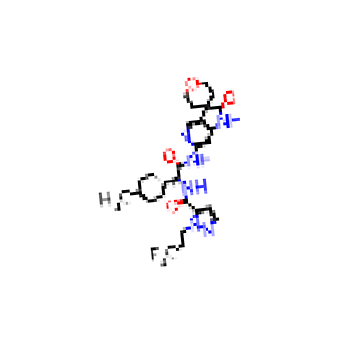 C[C@H]1CC[C@H]([C@H](NC(=O)c2ccnn2CCC(F)(F)F)C(=O)Nc2cc3c(cn2)C2(CCOCC2)C(=O)N3)CC1